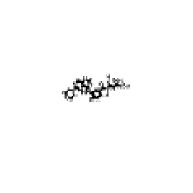 CC(C)(C)C(=N)/C=C(\N)NC(=O)c1ccc(F)c(Nc2ncnc3cnc(N4CCOCC4)nc23)c1